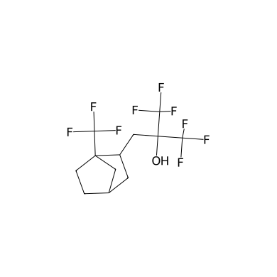 OC(CC1CC2CCC1(C(F)(F)F)C2)(C(F)(F)F)C(F)(F)F